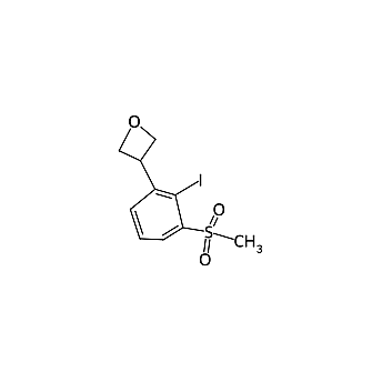 CS(=O)(=O)c1cccc(C2COC2)c1I